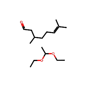 CC(C)=CCCC(C)CC=O.CCOC(C)OCC